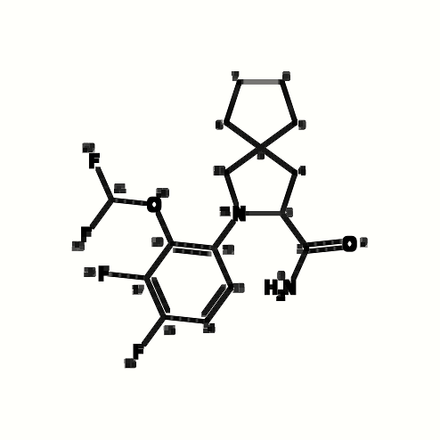 NC(=O)C1CC2(CCCC2)CN1c1ccc(F)c(F)c1OC(F)F